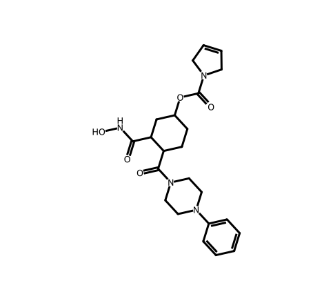 O=C(NO)C1CC(OC(=O)N2CC=CC2)CCC1C(=O)N1CCN(c2ccccc2)CC1